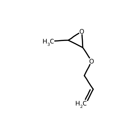 C=CCOC1OC1C